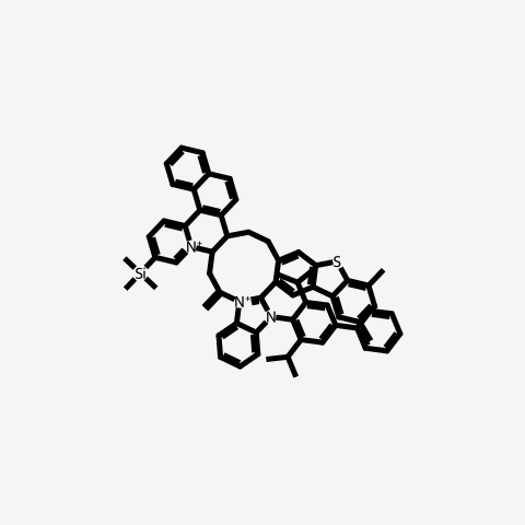 C=C1CC2C(CCc3cc4sc5c(C)cc(C)cc5c4cc3-c3n(-c4c(C(C)C)cc(-c5ccccc5)cc4C(C)C)c4ccccc4[n+]31)c1ccc3ccccc3c1-c1ccc([Si](C)(C)C)c[n+]12